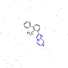 Cc1c(-c2ccccc2)cccc1-c1cn2ccncc2n1